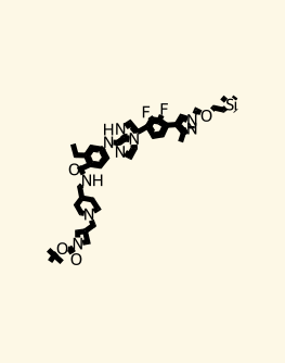 CCc1cc(Nc2nccn3c(-c4ccc(-c5cn(COCC[Si](C)(C)C)nc5C)c(F)c4F)cnc23)ccc1C(=O)NCC1CCN(CC2CN(C(=O)OC(C)(C)C)C2)CC1